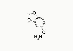 NOc1ccc2c(c1)OCO2